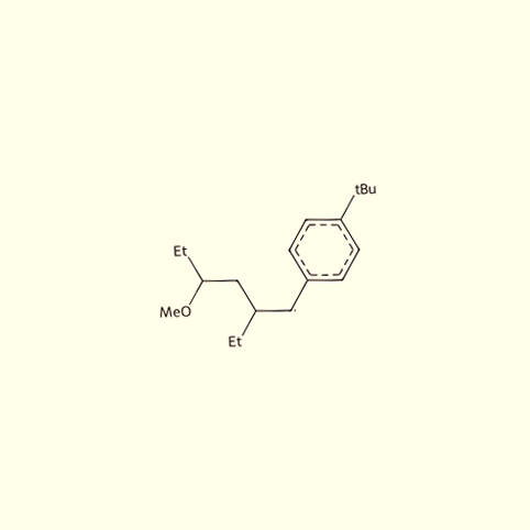 CCC([CH]c1ccc(C(C)(C)C)cc1)CC(CC)OC